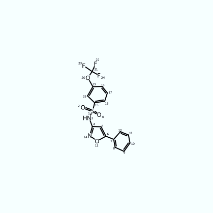 O=S(=O)(Nc1cc(-c2ccccc2)on1)c1cccc(OC(F)(F)F)c1